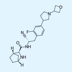 N#C[C@H](Cc1ccc(C2CCN(C3COC3)C2)cc1F)NC(=O)[C@H]1N[C@@H]2CC[C@H]1C2